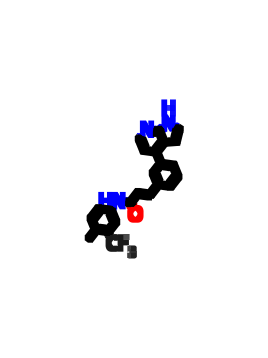 Cc1ccc(NC(=O)C=Cc2cccc(-c3ccnc4[nH]ccc34)c2)cc1C(F)(F)F